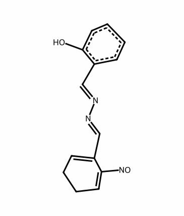 O=NC1=CCCC=C1/C=N/N=C/c1ccccc1O